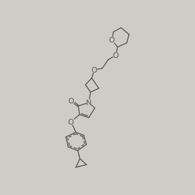 O=C1C(Oc2ccc(C3CC3)cc2)=CCN1C1CC(OCCOC2CCCCO2)C1